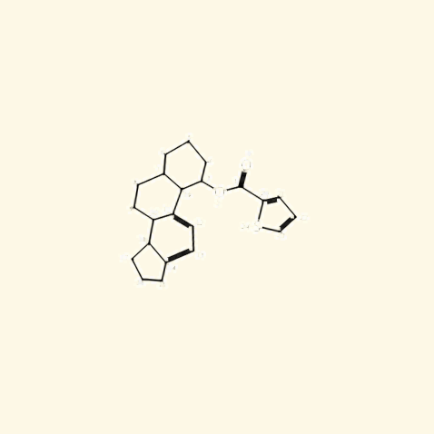 O=C(OC1CCCC2CCC3C(=CC=C4CCCC43)C21)c1cccs1